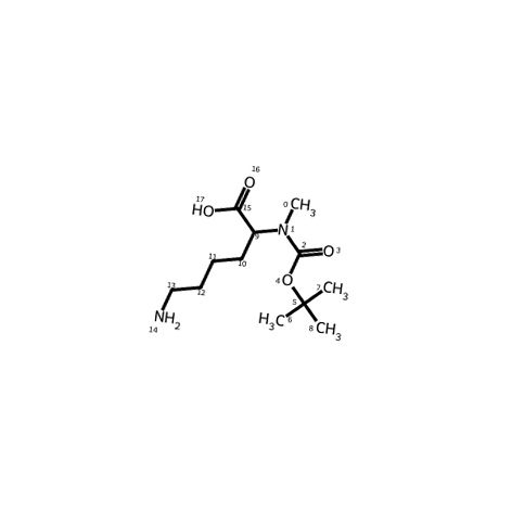 CN(C(=O)OC(C)(C)C)C(CCCCN)C(=O)O